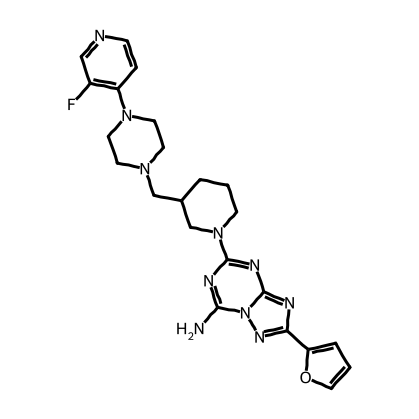 Nc1nc(N2CCCC(CN3CCN(c4ccncc4F)CC3)C2)nc2nc(-c3ccco3)nn12